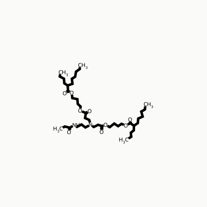 CCCCCCC(CCCC)C(=O)OCCCCOC(=O)CCN(CCCNC(=O)CC)CCC(=O)OCCCCOC(=O)C(CCCC)CCCCCC